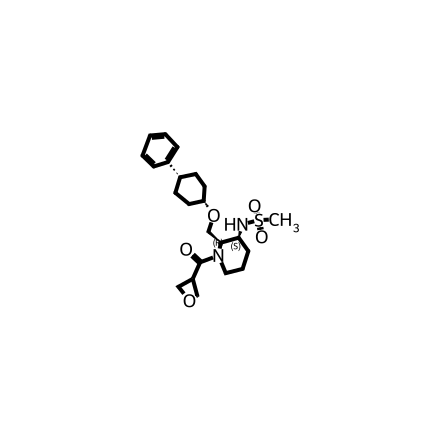 CS(=O)(=O)N[C@H]1CCCN(C(=O)C2COC2)[C@H]1CO[C@H]1CC[C@@H](c2ccccc2)CC1